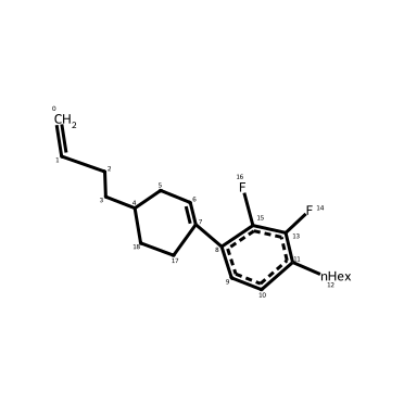 C=CCCC1CC=C(c2ccc(CCCCCC)c(F)c2F)CC1